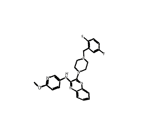 COc1ccc(Nc2nc3ccccc3nc2N2CCN(Cc3cc(F)ccc3F)CC2)cn1